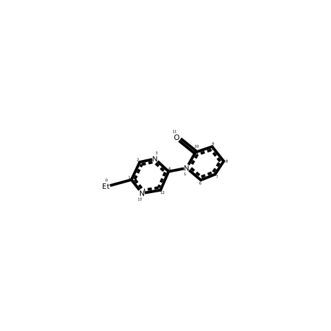 CCc1cnc(-n2ccccc2=O)cn1